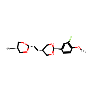 CCC[C@H]1CO[C@H](CC[C@H]2CO[C@H](c3ccc(OC(F)(F)F)c(F)c3)OC2)OC1